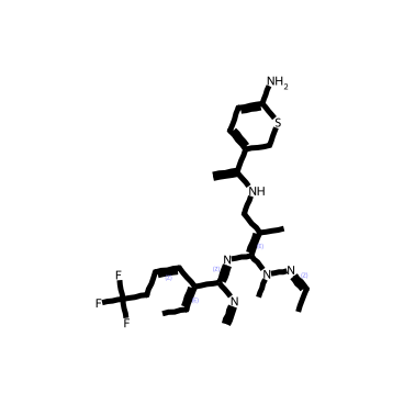 C=NC(=N\C(=C(\C)CNC(=C)C1=CC=C(N)SC1)N(C)/N=C\C)/C(/C=C\CC(F)(F)F)=C/C